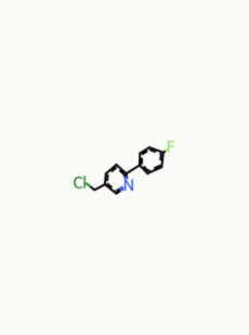 Fc1ccc(-c2ccc(CCl)cn2)cc1